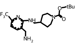 CC(C)(C)OC(=O)N1CCC(CNc2nc(C(F)(F)F)ccc2CN)CC1